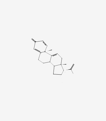 C=C1C=C[C@@]2(C)C(=C1)CCC1C2=CC[C@@]2(C)C1C[C@@H](I)[C@@H]2C(=C)CC